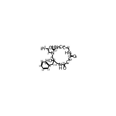 CC(C)CCN1CC(O)(Cc2ccccc2)CNC(=O)[CH]CC(=O)NCCCNC1=O